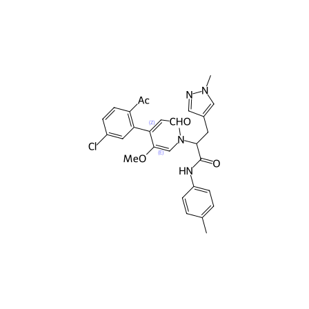 COC(=C/N(C)C(Cc1cnn(C)c1)C(=O)Nc1ccc(C)cc1)/C(=C\C=O)c1cc(Cl)ccc1C(C)=O